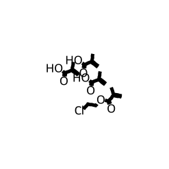 C=C(C)C(=O)O.C=C(C)C(=O)O.C=C(C)C(=O)O.C=C(C)C(=O)OCCCl